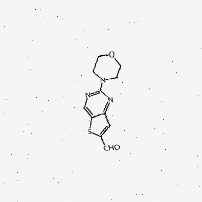 O=Cc1cc2nc(N3CCOCC3)ncc2s1